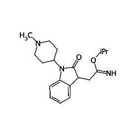 CC(C)OC(=N)CC1C(=O)N(C2CCN(C)CC2)c2ccccc21